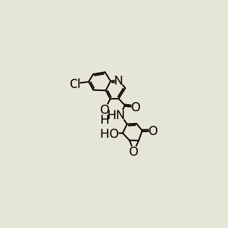 O=C(NC1=CC(=O)C2OC2C1O)c1cnc2ccc(Cl)cc2c1O